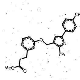 CCCc1nc(-c2ccc(C(F)(F)F)cc2)sc1COc1cccc(CCC(=O)OC)c1